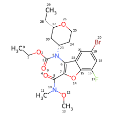 CCOC(=O)N(c1c(C(=O)N(C)OC)oc2c(F)cc(Br)cc12)[C@H]1CCO[C@@H](CC)C1